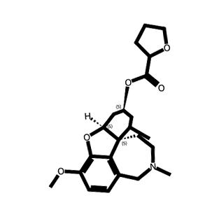 COc1ccc2c3c1O[C@H]1C[C@@H](OC(=O)C4CCCO4)CC(C)[C@@]31CCN(C)C2